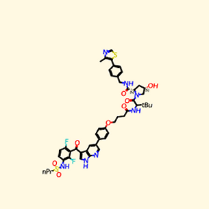 CCCS(=O)(=O)Nc1ccc(F)c(C(=O)c2c[nH]c3ncc(-c4ccc(OCCCC(=O)NC(C(=O)N5C[C@@H](O)C[C@H]5C(=O)NCc5ccc(-c6scnc6C)cc5)C(C)(C)C)cc4)cc23)c1F